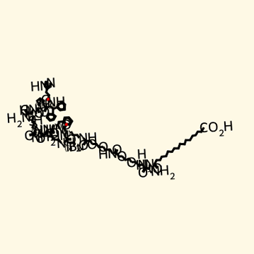 CC[C@H](C)CC(=O)N[C@@H](CCCCNC(=O)COCCOCCNC(=O)COCCOCCNC(=O)[C@H](CN)NC(=O)CCCCCCCCCCCCCCCCC(=O)O)C(=O)N[C@H](CC(=O)N[C@H](CCCCN)C(=O)N[C@@H](CSSC[C@H](NC(=O)[C@@H]1CCCN1C(=O)[C@@H](NC(=O)CCc1cnc[nH]1)C(c1ccccc1)c1ccccc1)C(N)=O)C(N)=O)Cc1ccccc1